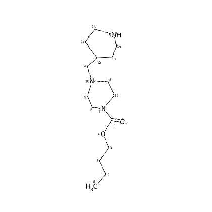 CCCCOC(=O)N1CCN(CC2CCNCC2)CC1